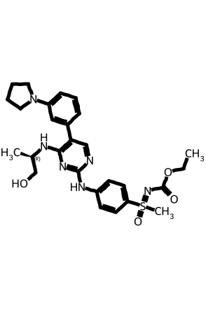 CCOC(=O)N=S(C)(=O)c1ccc(Nc2ncc(-c3cccc(N4CCCC4)c3)c(N[C@H](C)CO)n2)cc1